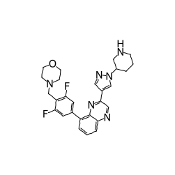 Fc1cc(-c2cccc3ncc(-c4cnn(C5CCCNC5)c4)nc23)cc(F)c1CN1CCOCC1